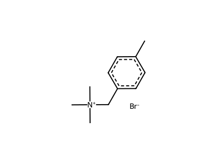 Cc1ccc(C[N+](C)(C)C)cc1.[Br-]